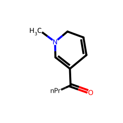 CCCC(=O)C1=CN(C)CC=C1